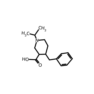 CC(C)N1CCC(Cc2ccccc2)C(C(=O)O)C1